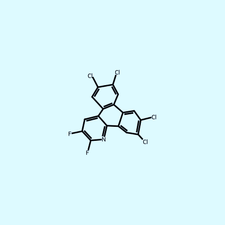 Fc1cc2c3cc(Cl)c(Cl)cc3c3cc(Cl)c(Cl)cc3c2nc1F